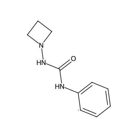 O=C(Nc1[c]cccc1)NN1CCC1